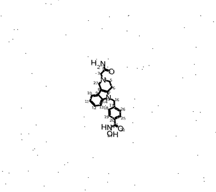 NC(=O)CN1CCc2c(c3ccccc3n2Cc2ccc(C(=O)NO)cc2)C1